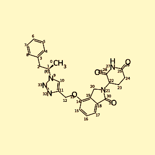 C[C@H](Cc1ccccc1)n1cc(COc2cccc3c2CN(C2CCC(=O)NC2=O)C3=O)nn1